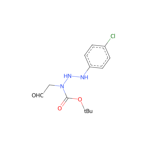 CC(C)(C)OC(=O)N(CC=O)NNc1ccc(Cl)cc1